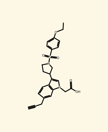 C#CCc1ccc2c(C3CCN(S(=O)(=O)c4ccc(OCC)cc4)C3)cn(CC(=O)O)c2c1